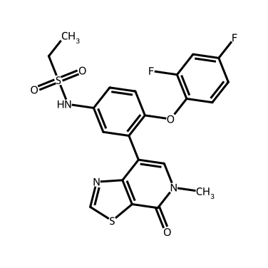 CCS(=O)(=O)Nc1ccc(Oc2ccc(F)cc2F)c(-c2cn(C)c(=O)c3scnc23)c1